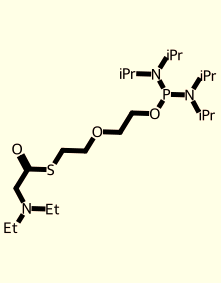 CCN(CC)CC(=O)SCCOCCOP(N(C(C)C)C(C)C)N(C(C)C)C(C)C